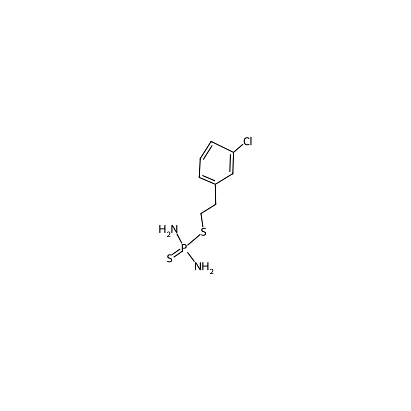 NP(N)(=S)SCCc1cccc(Cl)c1